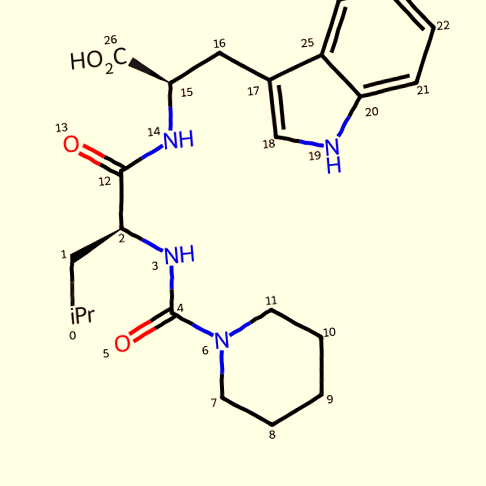 CC(C)C[C@H](NC(=O)N1CCCCC1)C(=O)N[C@H](Cc1c[nH]c2ccccc12)C(=O)O